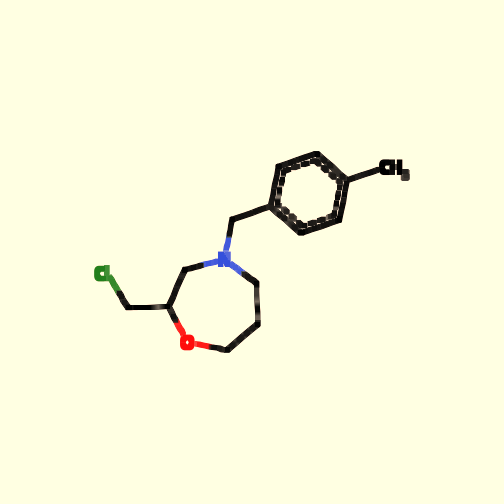 Cc1ccc(CN2CCCOC(CCl)C2)cc1